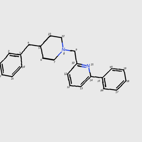 c1ccc(CC2CCN(Cc3cccc(-c4ccccc4)n3)CC2)cc1